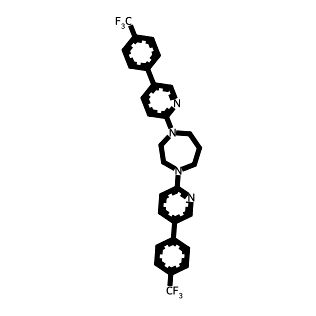 FC(F)(F)c1ccc(-c2ccc(N3CCCN(c4ccc(-c5ccc(C(F)(F)F)cc5)cn4)CC3)nc2)cc1